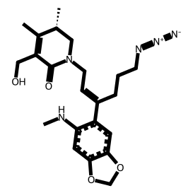 CNc1cc2c(cc1/C(=C/CN1C[C@@H](C)C(C)=C(CO)C1=O)CCCN=[N+]=[N-])OCO2